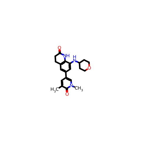 Cc1cc(-c2cc3c(c(NC4CCOCC4)c2)NC(=O)CC3)cn(C)c1=O